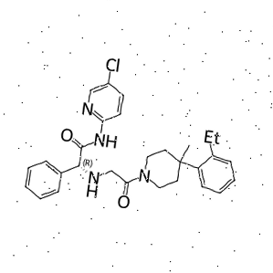 CCc1ccccc1C1(C)CCN(C(=O)CN[C@@H](C(=O)Nc2ccc(Cl)cn2)c2ccccc2)CC1